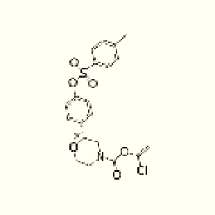 C=C(Cl)OC(=O)N1CCO[C@H](c2ccc(OS(=O)(=O)c3ccc(C)cc3)cc2)C1